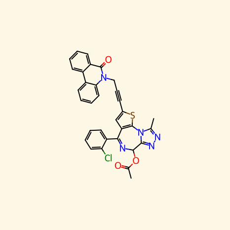 CC(=O)OC1N=C(c2ccccc2Cl)c2cc(C#CCn3c(=O)c4ccccc4c4ccccc43)sc2-n2c(C)nnc21